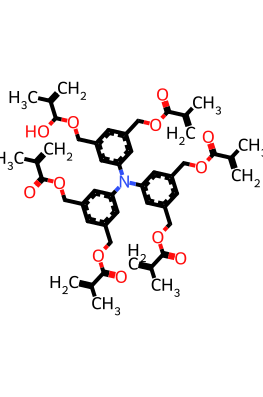 C=C(C)C(=O)OCc1cc(COC(=O)C(=C)C)cc(N(c2cc(COC(=O)C(=C)C)cc(COC(=O)C(=C)C)c2)c2cc(COC(=O)C(=C)C)cc(COC(O)C(=C)C)c2)c1